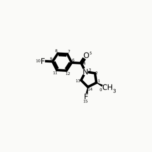 C[C@@H]1CN(C(=O)c2ccc(F)cc2)C[C@@H]1F